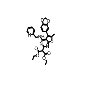 CCOC(=O)C(C(=O)OCC)c1nc(NCc2ccccn2)c2c(-c3ccc4c(c3)OCO4)c(C)sc2n1